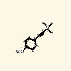 CC(=O)Oc1ccc(C#C[Si](C)(C)C)cc1